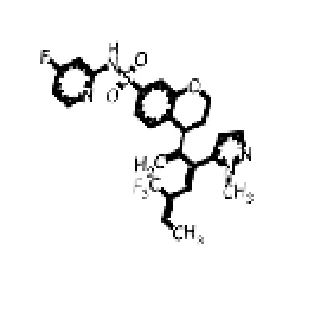 C=C(/C(=C\C(=C/C)C(F)(F)F)c1ccnn1C)[C@@H]1CCOc2cc(S(=O)(=O)Nc3cc(F)ccn3)ccc21